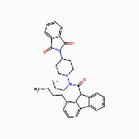 CCCCc1cccc2c1C(C(=O)N(CCC)N1CCC(N3C(=O)c4ccccc4C3=O)CC1)c1ccccc1-2